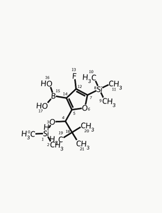 C[SiH](C)OC(c1oc([Si](C)(C)C)c(F)c1B(O)O)C(C)(C)C